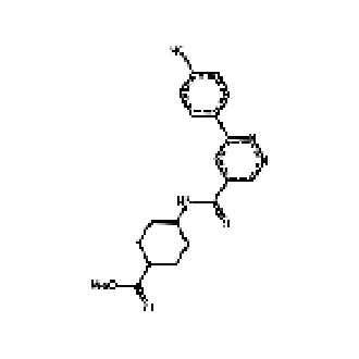 COC(=O)C1CCC(NC(=O)c2cnnc(-c3ccc(C#N)cc3)c2)CC1